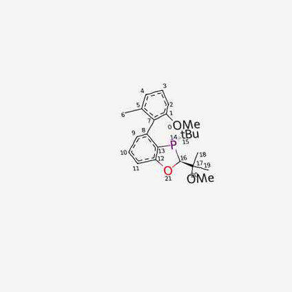 COc1cccc(C)c1-c1cccc2c1[P@](C(C)(C)C)[C@@H](C(C)(C)OC)O2